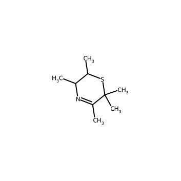 CC1=NC(C)C(C)SC1(C)C